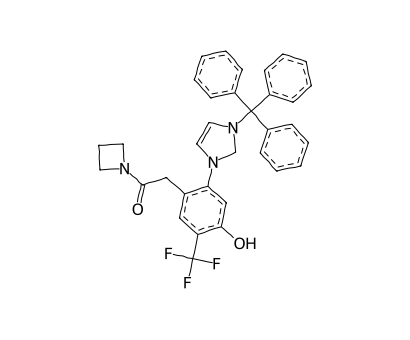 O=C(Cc1cc(C(F)(F)F)c(O)cc1N1C=CN(C(c2ccccc2)(c2ccccc2)c2ccccc2)C1)N1CCC1